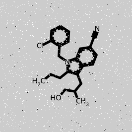 CCCc1c(CC(C)CO)c2ccc(C#N)cc2n1Cc1ccccc1Cl